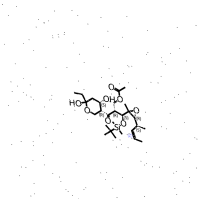 C/C=C\[C@H](C)[C@H]1OC1(C)[C@@H](O[Si](C)(C)C(C)(C)C)[C@@H](COC(C)=O)C(=O)[C@@H]1COC(O)(CC)C[C@@H]1O